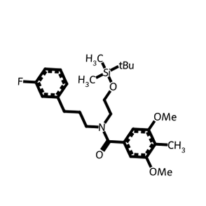 COc1cc(C(=O)N(CCCc2cccc(F)c2)CCO[Si](C)(C)C(C)(C)C)cc(OC)c1C